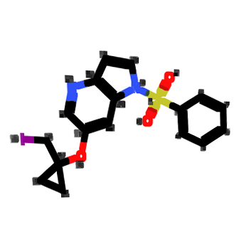 O=S(=O)(c1ccccc1)n1ccc2ncc(OC3(CI)CC3)cc21